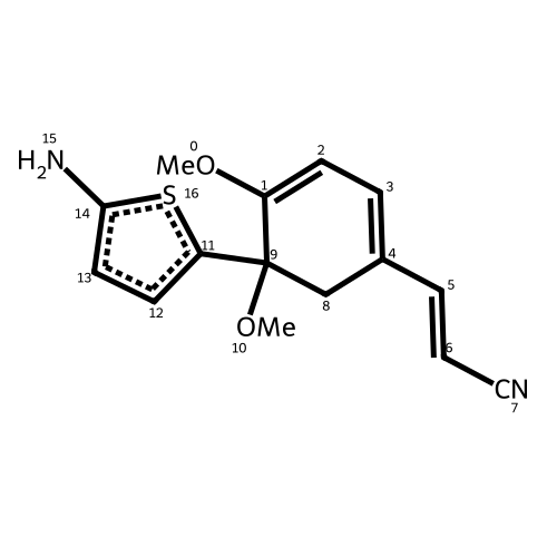 COC1=CC=C(C=CC#N)CC1(OC)c1ccc(N)s1